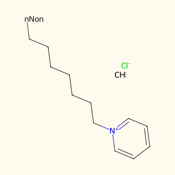 CCCCCCCCCCCCCCCC[n+]1ccccc1.[CH].[Cl-]